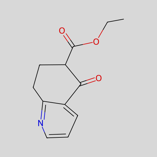 CCOC(=O)C1CCc2ncccc2C1=O